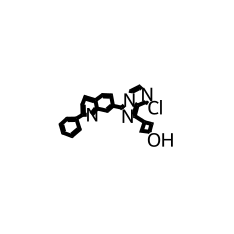 OC1CC(c2nc(-c3ccc4ccc(-c5ccccc5)nc4c3)n3ccnc(Cl)c23)C1